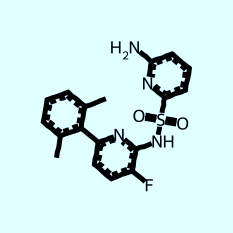 Cc1cccc(C)c1-c1ccc(F)c(NS(=O)(=O)c2cccc(N)n2)n1